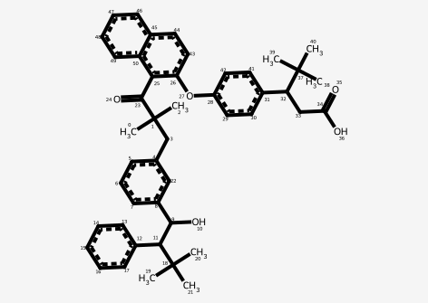 CC(C)(Cc1cccc(C(O)C(c2ccccc2)C(C)(C)C)c1)C(=O)c1c(Oc2ccc(C(CC(=O)O)C(C)(C)C)cc2)ccc2ccccc12